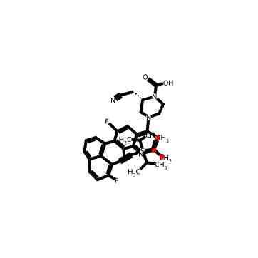 CC(C)[Si](C#Cc1c(F)ccc2cccc(-c3c(F)cc4c(N5CCN(C(=O)O)[C@@H](CC#N)C5)nc(F)nc4c3F)c12)(C(C)C)C(C)C